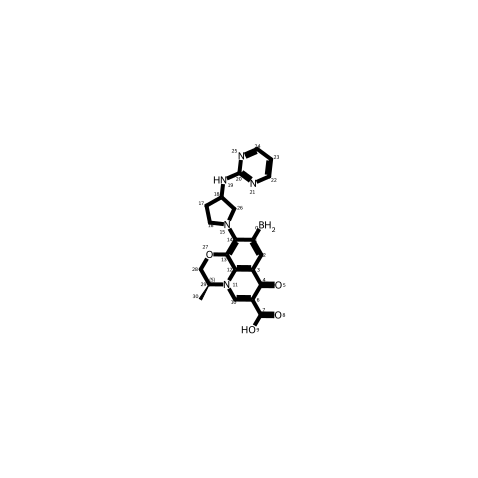 Bc1cc2c(=O)c(C(=O)O)cn3c2c(c1N1CCC(Nc2ncccn2)C1)OC[C@@H]3C